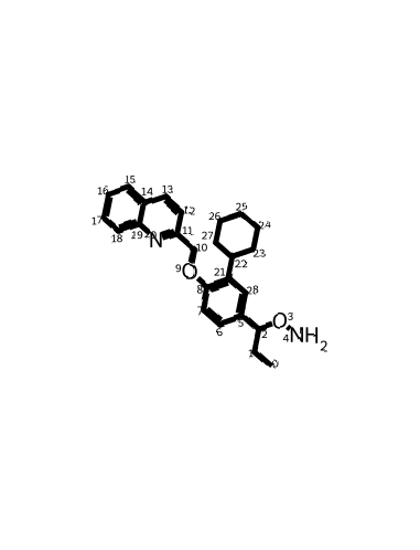 CCC(ON)c1ccc(OCc2ccc3ccccc3n2)c(C2CCCCC2)c1